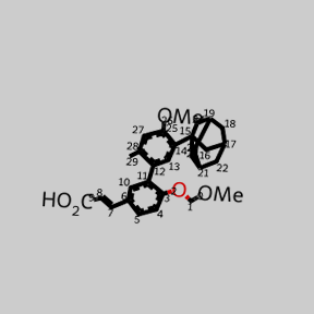 COCOc1ccc(C=CC(=O)O)cc1-c1cc(C23CC4CC(CC(C4)C2)C3)c(OC)cc1C